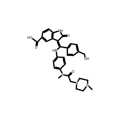 CN1CCN(CC(=O)N(C)c2ccc(NC(=C3C(=O)Nc4ccc(C(=O)O)cc43)c3ccc(CO)cc3)cc2)CC1